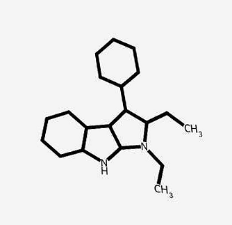 CCC1C(C2CCCCC2)C2C3CCCCC3NC2N1CC